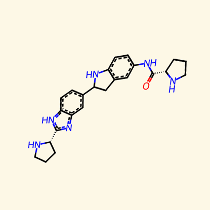 O=C(Nc1ccc2c(c1)CC(c1ccc3[nH]c([C@@H]4CCCN4)nc3c1)N2)[C@@H]1CCCN1